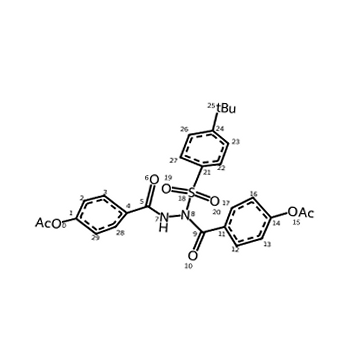 CC(=O)Oc1ccc(C(=O)NN(C(=O)c2ccc(OC(C)=O)cc2)S(=O)(=O)c2ccc(C(C)(C)C)cc2)cc1